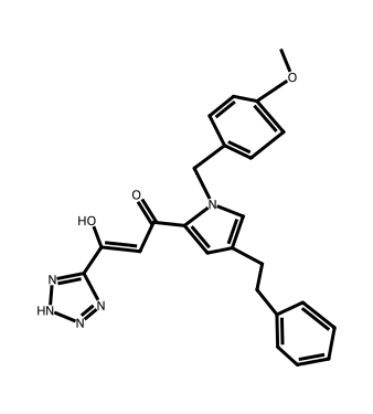 COc1ccc(Cn2cc(CCc3ccccc3)cc2C(=O)C=C(O)c2nn[nH]n2)cc1